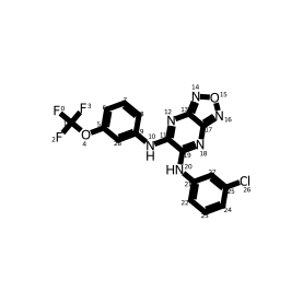 FC(F)(F)Oc1cccc(Nc2nc3nonc3nc2Nc2cccc(Cl)c2)c1